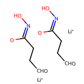 O=CCCC([O-])=NO.O=CCCC([O-])=NO.[Li+].[Li+]